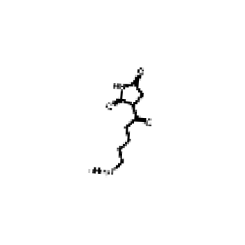 CCCCCCCCCCCC(=O)C1CC(=O)NC1=O